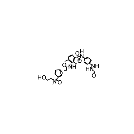 Cc1ccc(S(=O)(=O)Nc2ccc(NNC=O)cc2)c(C)c1NC(=O)C[n+]1cccc(C(=O)N(C)CCO)c1